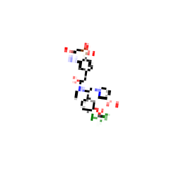 CCN(C(=O)Cc1ccc2c(c1)NC(=O)CS2(=O)=O)C(CN1CC[C@H](O)C1)c1cccc(OC(F)(F)F)c1